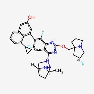 C[C@]12CC[C@H](CN(c3nc(OCC45CCCN4C[C@H](F)C5)nc4c(F)c(-c5cc(O)cc6cccc(C7CC7)c56)c(F)cc34)C1)N2